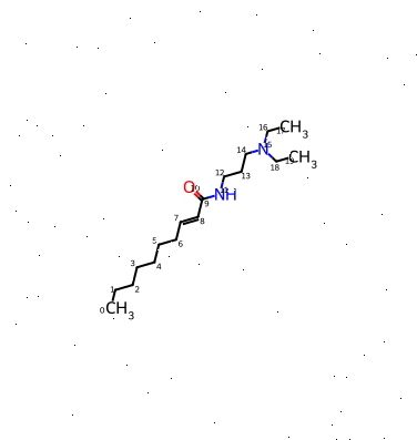 CCCCCCCC=CC(=O)NCCCN(CC)CC